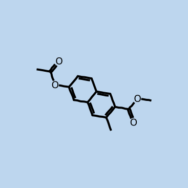 COC(=O)c1cc2ccc(OC(C)=O)cc2cc1C